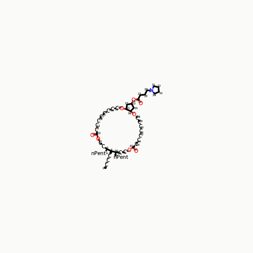 C=C=C=C=C1C(CCCCC)CCOC(=O)CCCCCCCCOC2CC(OC(=O)CCCN3CCCC3)CC2OCCCCCCCC(=O)OCCC1CCCCC